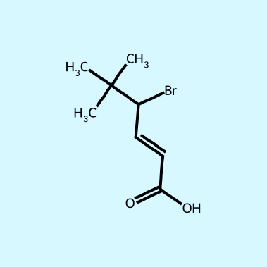 CC(C)(C)C(Br)C=CC(=O)O